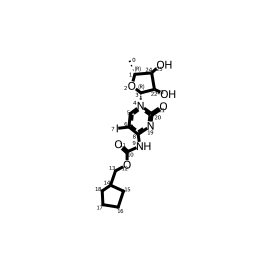 C[C@H]1O[C@@H](n2cc(I)c(NC(=O)OCC3CCCC3)nc2=O)C(O)C1O